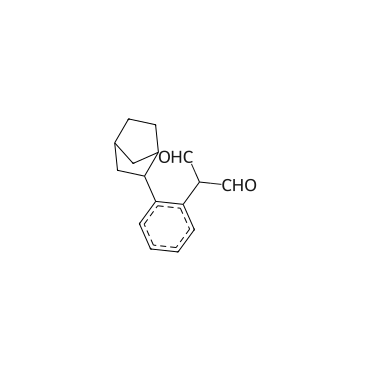 O=CC(C=O)c1ccccc1C1CC2CCC1C2